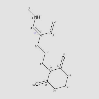 C=N/C(=C\NC)CCCN1C(=O)CCCC1=O